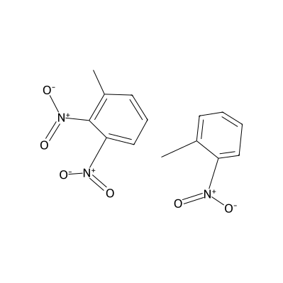 Cc1cccc([N+](=O)[O-])c1[N+](=O)[O-].Cc1ccccc1[N+](=O)[O-]